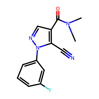 CN(C)C(=O)c1cnn(-c2cccc(F)c2)c1C#N